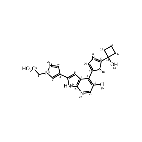 O=C(O)Cn1cc(-c2cc3c(-c4cnc(C5(O)CCC5)s4)c(Cl)cnc3[nH]2)cn1